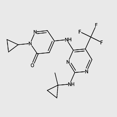 CC1(Nc2ncc(C(F)(F)F)c(Nc3cnn(C4CC4)c(=O)c3)n2)CC1